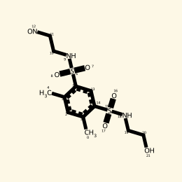 Cc1cc(C)c(S(=O)(=O)NCCN=O)cc1S(=O)(=O)NCCO